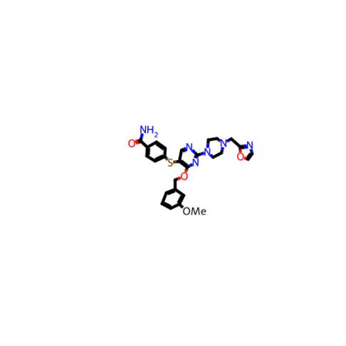 COc1cccc(COc2nc(N3CCN(Cc4ncco4)CC3)ncc2Sc2ccc(C(N)=O)cc2)c1